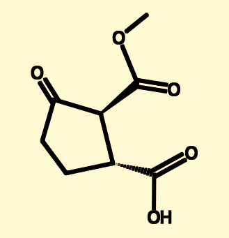 COC(=O)[C@@H]1C(=O)CC[C@H]1C(=O)O